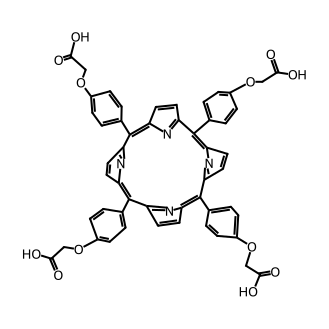 O=C(O)COc1ccc(C2=C3C=CC(=N3)C(c3ccc(OCC(=O)O)cc3)=C3C=CC(=N3)C(c3ccc(OCC(=O)O)cc3)=C3C=CC(=N3)C(c3ccc(OCC(=O)O)cc3)=C3C=CC2=N3)cc1